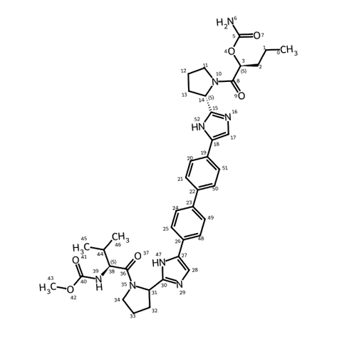 CCC[C@H](OC(N)=O)C(=O)N1CCC[C@H]1c1ncc(-c2ccc(-c3ccc(-c4cnc(C5CCCN5C(=O)[C@@H](NC(=O)OC)C(C)C)[nH]4)cc3)cc2)[nH]1